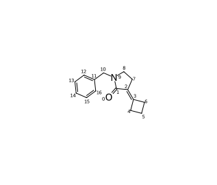 O=C1C(=C2CCC2)CCN1Cc1ccccc1